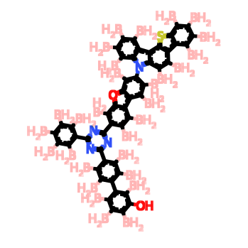 Bc1c(B)c(B)c(-c2nc(-c3c(B)c(B)c(-c4c(B)c(B)c(B)c(O)c4B)c(B)c3B)nc(-c3c(B)c(B)c4c(oc5c(B)c(-n6c7c(B)c(B)c(B)c(B)c7c7c8sc9c(B)c(B)c(B)c(B)c9c8c(B)c(B)c76)c(B)c(B)c54)c3B)n2)c(B)c1B